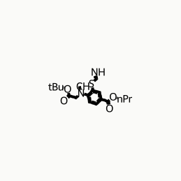 CCCOC(=O)c1ccc(N(C)CC(=O)OC(C)(C)C)c(SC=N)c1